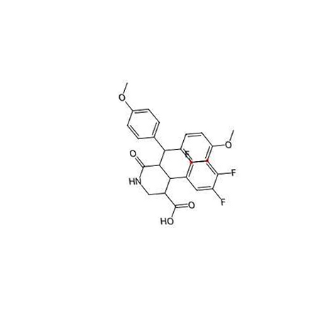 COc1ccc(C(c2ccc(OC)cc2)C2C(=O)NCC(C(=O)O)C2c2cc(F)c(F)cc2F)cc1